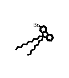 CCCCCCCCCCC1(CCCCCCCC)c2ccccc2-c2ccc(Br)cc21